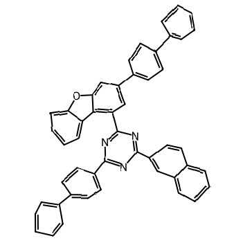 c1ccc(-c2ccc(-c3cc(-c4nc(-c5ccc(-c6ccccc6)cc5)nc(-c5ccc6ccccc6c5)n4)c4c(c3)oc3ccccc34)cc2)cc1